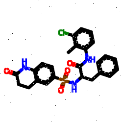 Cc1c(Cl)cccc1NC(=O)C(Cc1ccccc1)NS(=O)(=O)c1ccc2c(c1)CCC(=O)N2